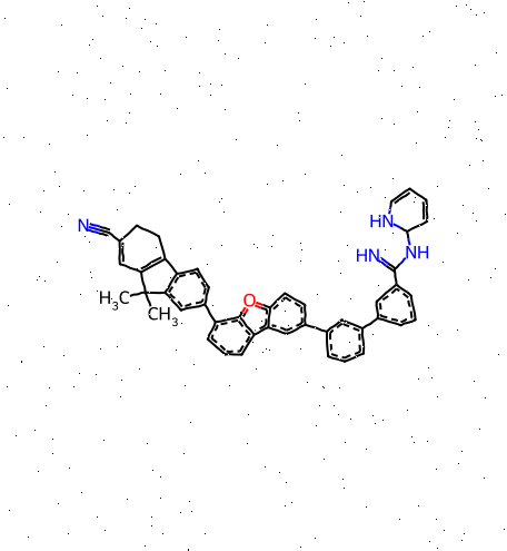 CC1(C)C2=C(CCC(C#N)=C2)c2ccc(-c3cccc4c3oc3ccc(-c5cccc(-c6cccc(C(=N)NC7C=CC=CN7)c6)c5)cc34)cc21